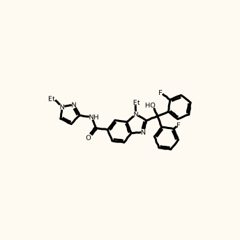 CCn1ccc(NC(=O)c2ccc3nc(C(O)(c4ccccc4F)c4ccccc4F)n(CC)c3c2)n1